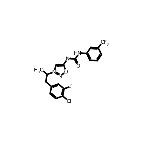 CC(Cc1ccc(Cl)c(Cl)c1)[n+]1cc([N-]C(=O)Nc2cccc(C(F)(F)F)c2)on1